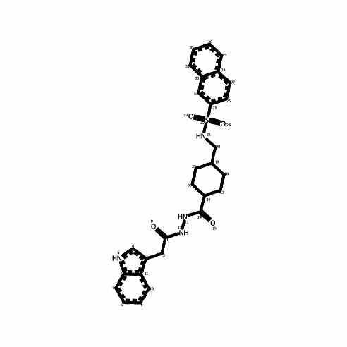 O=C(Cc1c[nH]c2ccccc12)NNC(=O)C1CCC(CNS(=O)(=O)c2ccc3ccccc3c2)CC1